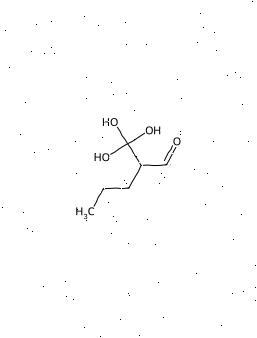 CCCC([C]=O)C(O)(O)O